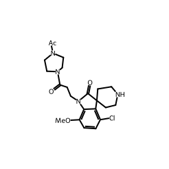 COc1ccc(Cl)c2c1N(CCC(=O)N1CCN(C(C)=O)CC1)C(=O)C21CCNCC1